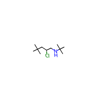 CC(C)(C)C[C@H](Cl)CNC(C)(C)C